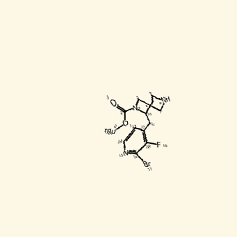 CC(C)(C)OC(=O)N1CC2(CNC2)C1Cc1ccnc(Br)c1F